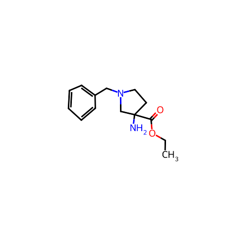 CCOC(=O)C1(N)CCN(Cc2ccccc2)C1